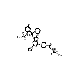 CC(C)(C)OC(=O)NCC(=O)N1CCN(c2cc(N3CCC3)nc3cc([C@@H]4CCCCN4C(=O)c4cc(Cl)ccc4NS(C)(=O)=O)nn23)CC1